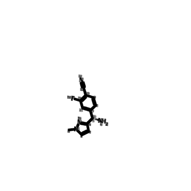 Cn1ccc([C@@H](N)c2ccc(C#N)c(F)c2)n1